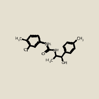 Cc1ccc(C(O)C(C)NC(=O)Nc2ccc(C)c(Cl)c2)cc1